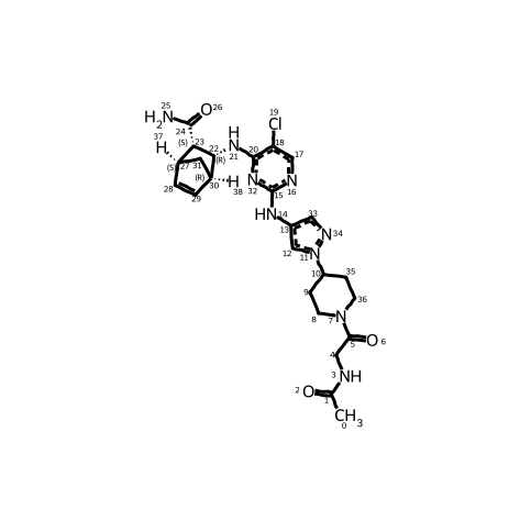 CC(=O)NCC(=O)N1CCC(n2cc(Nc3ncc(Cl)c(N[C@H]4[C@@H](C(N)=O)[C@@H]5C=C[C@H]4C5)n3)cn2)CC1